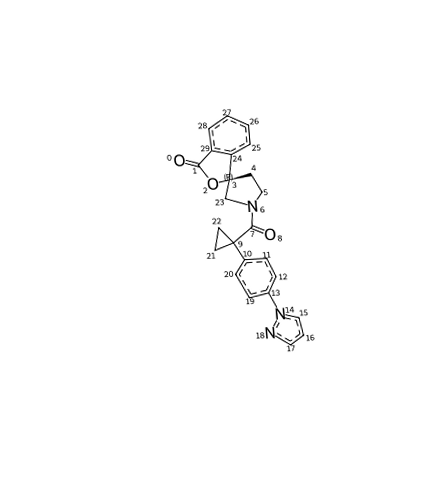 O=C1O[C@]2(CCN(C(=O)C3(c4ccc(-n5cccn5)cc4)CC3)C2)c2ccccc21